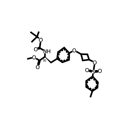 COC(=O)[C@H](Cc1ccc(OC2CC(OS(=O)(=O)c3ccc(C)cc3)C2)cc1)NC(=O)OC(C)(C)C